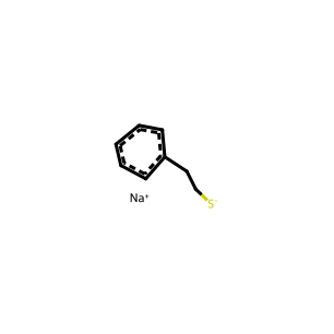 [Na+].[S-]CCc1ccccc1